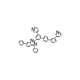 c1ccc(-c2ccc3c(-c4ccccc4)nc(-c4cc(-c5ccc(-c6cccc(-c7cccnc7)c6)cc5)cc(-c5cccnc5)c4)nc3c2)cc1